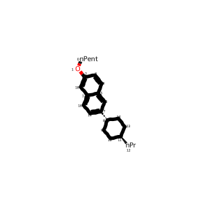 CCCCCOc1ccc2cc([C@H]3CC[C@H](CCC)CC3)ccc2c1